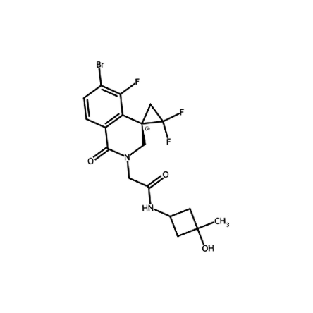 CC1(O)CC(NC(=O)CN2C[C@]3(CC3(F)F)c3c(ccc(Br)c3F)C2=O)C1